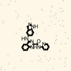 O=C(Nc1ccccn1)c1nc(Nc2ccc3[nH]ncc3c2)c2ccccc2n1